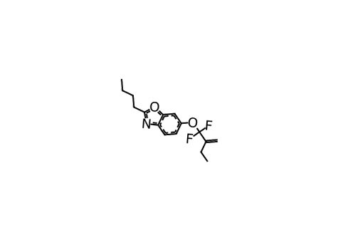 C=C(CC)C(F)(F)Oc1ccc2nc(CCCC)oc2c1